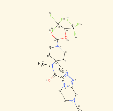 CN(C(=O)c1nnc2n1CCN(C1CC1)C2)C1(C)CCN(C(=O)OC(C(F)(F)F)C(F)(F)F)CC1